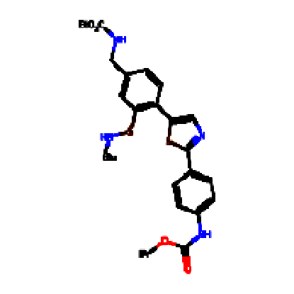 CCOC(=O)NCc1ccc(-c2cnc(-c3ccc(NC(=O)OC(C)C)cc3)s2)c(SNC(C)(C)C)c1